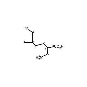 CC(CF)CCC(CN)C(=O)O